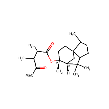 COC(=O)C(C)C(C)C(=O)O[C@]1(C)CCC23C[C@@H]1C(C)(C)C2CCC3C